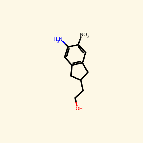 Nc1cc2c(cc1[N+](=O)[O-])CC(CCO)C2